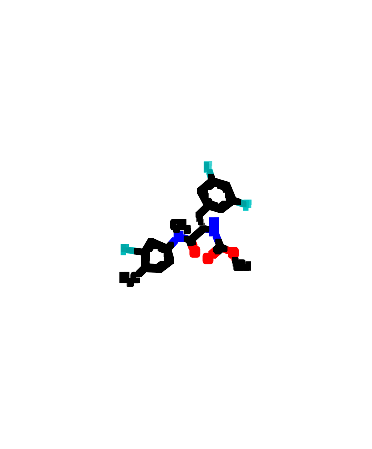 Cc1ccc(N(C)C(=O)[C@H](Cc2cc(F)cc(F)c2)NC(=O)OC(C)(C)C)cc1F